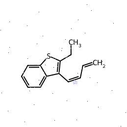 C=C/C=C\c1c(CC)sc2ccccc12